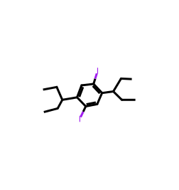 CCC(CC)c1cc(I)c(C(CC)CC)cc1I